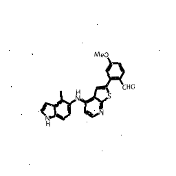 COc1ccc(C=O)c(-c2cc3c(Nc4ccc5[nH]ccc5c4C)ccnc3s2)c1